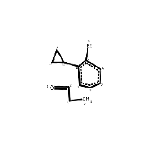 CCC=O.CCc1ccccc1C1CC1